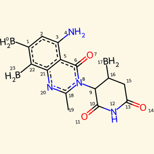 Bc1cc(N)c2c(=O)n(C3C(=O)NC(=O)CC3B)c(C)nc2c1B